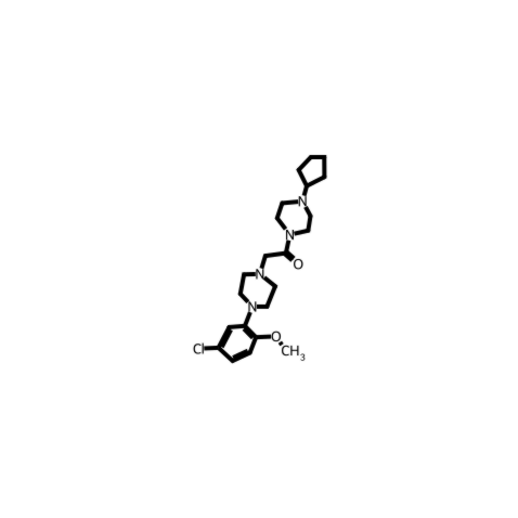 COc1ccc(Cl)cc1N1CCN(CC(=O)N2CCN(C3CCCC3)CC2)CC1